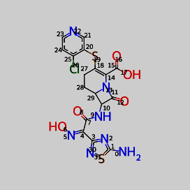 Nc1nc(/C(=N/O)C(=O)NC2C(=O)N3C(C(=O)O)=C(Sc4cnccc4Cl)CCC23)ns1